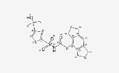 CC(C)(O)c1csc(S(=O)(=O)NC(=O)Cc2c3c(cc4c2CCC4)CCC3)c1